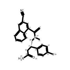 C=C(c1cc(C#N)cc2ccccc12)N(C)C[C@@H](CC(N)=O)c1ccc(F)cc1